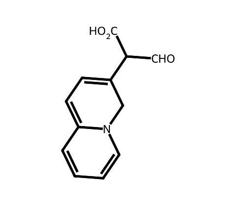 O=CC(C(=O)O)C1=CC=C2C=CC=CN2C1